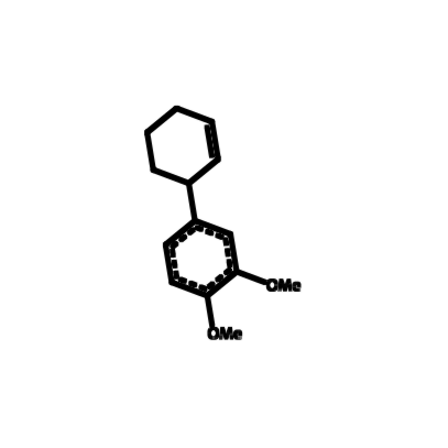 COc1ccc(C2C=CCCC2)cc1OC